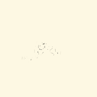 CC1(c2ccc(Cl)cc2)Cc2cc(OCC(=O)O)c(Cl)c(Cl)c2C1=O.O